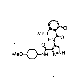 COc1cccc(Cl)c1C(=O)Nc1c[nH]nc1C(=O)NC1CCC(OC)CC1